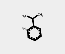 CC(C)c1ccccc1.P